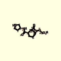 O=C(N[C@@H]1CCNC1)[C@@H]1CCC2CN1C(=O)N2OS(=O)(=O)O